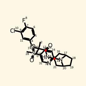 CC(C)(Oc1ccc(F)c(Cl)c1)C(=O)NC1CC2CCC(C1)N2c1ccc(S(C)(=O)=O)cn1